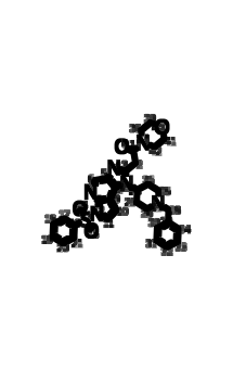 O=C(Cc1nc2cnc3c(ccn3S(=O)(=O)c3ccccc3)c2n1C1CCN(Cc2ccccc2)CC1)N1CCOCC1